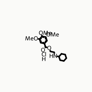 COc1cc(C(=O)OCCNC2CCCCC2)cc(OC)c1OC.Cl